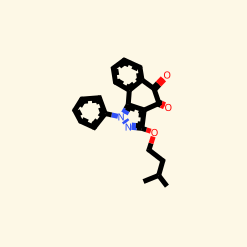 CC(C)CCOc1nn(-c2ccccc2)c2c1C(=O)C(=O)c1ccccc1-2